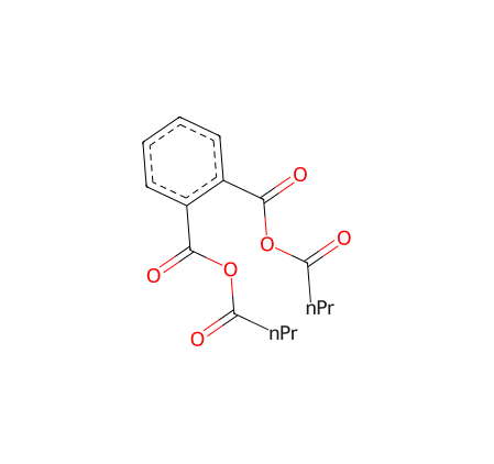 CCCC(=O)OC(=O)c1ccccc1C(=O)OC(=O)CCC